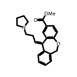 COC(=O)c1ccc2c(c1)C(=CCCN1CCCC1)c1ccccc1CO2